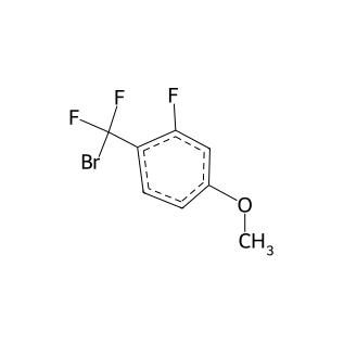 COc1ccc(C(F)(F)Br)c(F)c1